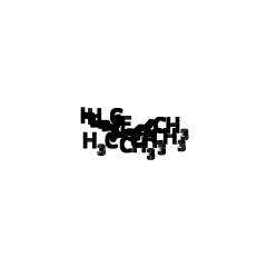 C=C/C(C#CCCI)=C(/C)[C@H](C)/C(F)=C(\C)CC(CC)CC